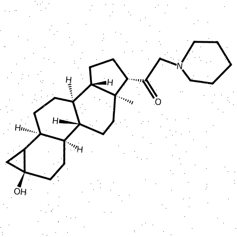 C[C@]12CC[C@@H]3[C@H]4CC[C@]5(O)CC5[C@H]4CC[C@H]3[C@@H]1CC[C@@H]2C(=O)CN1CCCCC1